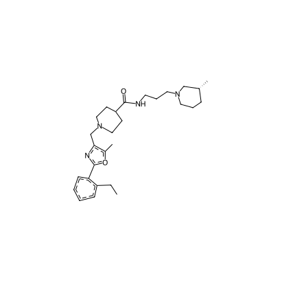 CCc1ccccc1-c1nc(CN2CCC(C(=O)NCCCN3CCC[C@@H](C)C3)CC2)c(C)o1